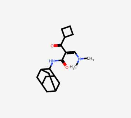 CN(C)/C=C(\C(=O)NC1C2CC3CC(C2)CC1C3)C(=O)C1CCC1